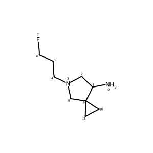 NC1CN(CCCF)CC12CC2